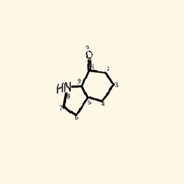 O=C1CCCC2CCNC12